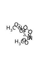 COC(=O)c1cnn(-c2cccc(-c3cccc(C(=O)N4CCOC(C)C4)c3F)c2)c1C1CC1